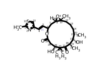 Cc1nc(/C=C/C2C[C@@H]3O[C@]3(C)CCC[C@H](C)[C@H](O)[C@@H](C)C(=O)C(C)(C)[C@@H](O)CC(=O)O2)cs1